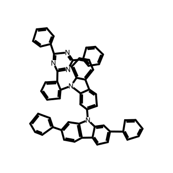 c1ccc(-c2ccc3c4ccc(-c5ccccc5)cc4n(-c4ccc5c6ccccc6n(-c6ccccc6-c6nc(-c7ccccc7)nc(-c7ccccc7)n6)c5c4)c3c2)cc1